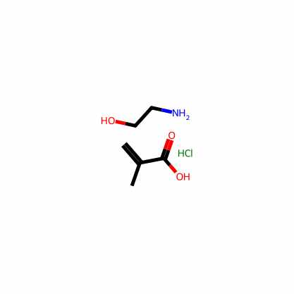 C=C(C)C(=O)O.Cl.NCCO